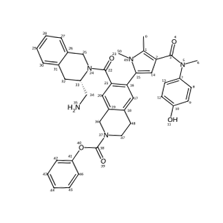 Cc1c(C(=O)N(C)c2ccc(O)cc2)cc(-c2cc3c(cc2C(=O)N2Cc4ccccc4C[C@H]2CN)CN(C(=O)Oc2ccccc2)CC3)n1C